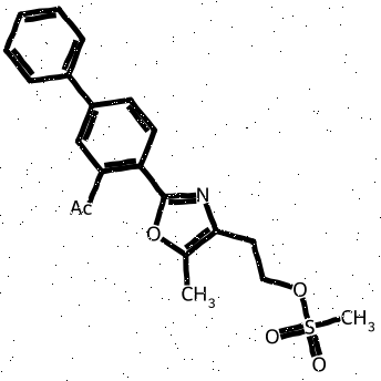 CC(=O)c1cc(-c2ccccc2)ccc1-c1nc(CCOS(C)(=O)=O)c(C)o1